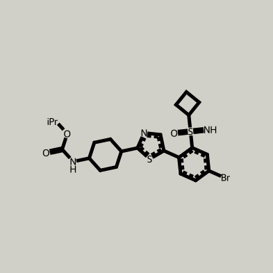 CC(C)OC(=O)NC1CCC(c2ncc(-c3ccc(Br)cc3S(=N)(=O)C3CCC3)s2)CC1